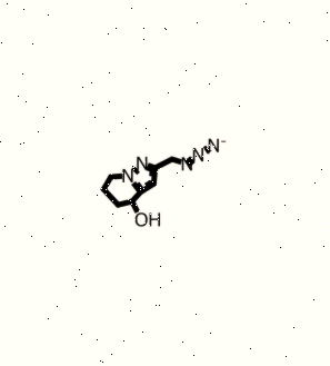 [N-]=[N+]=NCc1cc2n(n1)CCCC2O